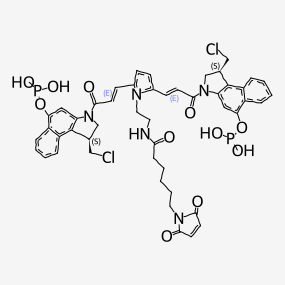 O=C(CCCCCN1C(=O)C=CC1=O)NCCn1c(/C=C/C(=O)N2C[C@@H](CCl)c3c2cc(OP(O)O)c2ccccc32)ccc1/C=C/C(=O)N1C[C@@H](CCl)c2c1cc(OP(O)O)c1ccccc21